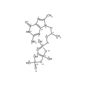 Cc1nc2c(=O)[nH]c(N)nc2n1CC(C)OCP(=O)(O)OP(=O)(O)OP(=O)(O)O